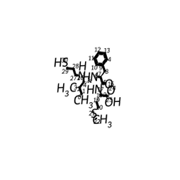 CC[C@H](C)[C@@H](CN[C@@H](Cc1ccccc1)C(=O)N[C@@H](CCSC)C(=O)O)NCCCS